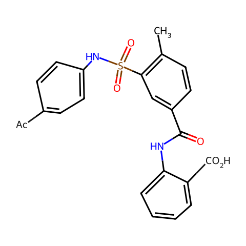 CC(=O)c1ccc(NS(=O)(=O)c2cc(C(=O)Nc3ccccc3C(=O)O)ccc2C)cc1